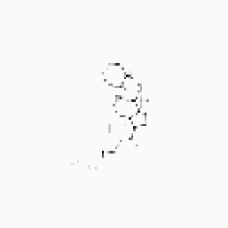 C[C@H](CCC(=O)OC(C)(C)C)C1CC[C@H]2C3CC[C@@H]4CCCCC4(C)[C@H]3CC[C@]12C